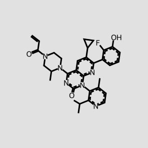 C=CC(=O)N1CCN(c2nc(=O)n(-c3c(C)ccnc3C(C)C)c3nc(-c4cccc(O)c4F)c(C4CC4)cc23)C(C)C1